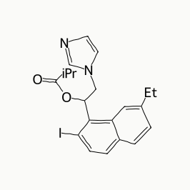 CCc1ccc2ccc(I)c(C(Cn3ccnc3)OC(=O)C(C)C)c2c1